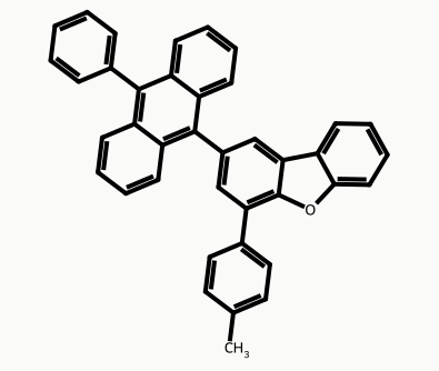 Cc1ccc(-c2cc(-c3c4ccccc4c(-c4ccccc4)c4ccccc34)cc3c2oc2ccccc23)cc1